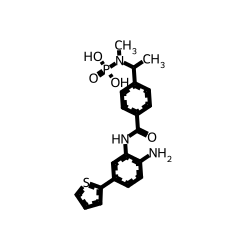 CC(c1ccc(C(=O)Nc2cc(-c3cccs3)ccc2N)cc1)N(C)P(=O)(O)O